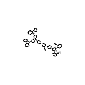 N#Cc1cc(-c2ccc(-n3c4ccc(-n5c6ccccc6c6ccccc65)cc4c4cc(-n5c6ccccc6c6ccccc65)ccc43)cc2)ccc1-c1ccc(-c2cc(-c3ccccc3C#N)nc(-c3ccccc3C#N)n2)cc1